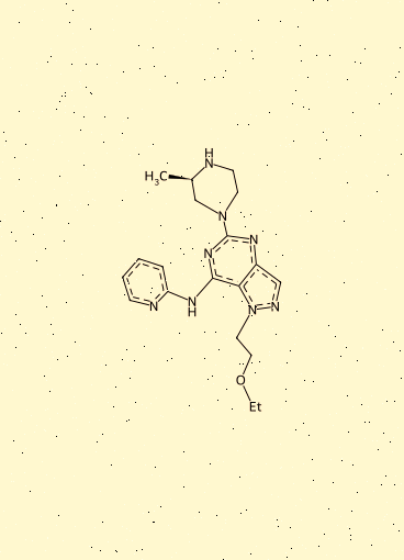 CCOCCn1ncc2nc(N3CCN[C@H](C)C3)nc(Nc3ccccn3)c21